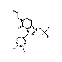 C=CCN1C=Cc2c(c(-c3ccc(F)c(C)c3)cn2CC(F)(F)F)C1=C